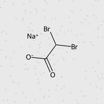 O=C([O-])C(Br)Br.[Na+]